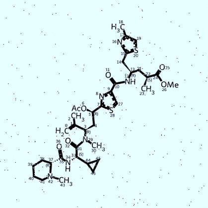 C=C(C)[C@@H](C[C@@H](OC(C)=O)c1nc(C(=O)N[C@@H](Cc2nc(C)cs2)C[C@H](C)C(=O)OC)cs1)N(C)C(=O)[C@@H](NC(=O)[C@H]1CCCCN1C)C1CC1